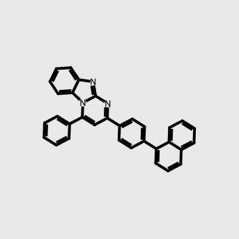 c1ccc(-c2cc(-c3ccc(-c4cccc5ccccc45)cc3)nc3nc4ccccc4n23)cc1